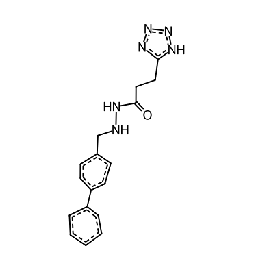 O=C(CCc1nnn[nH]1)NNCc1ccc(-c2ccccc2)cc1